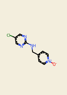 [O-][n+]1ccc(CNc2ncc(Cl)cn2)cc1